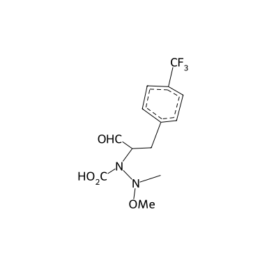 CON(C)N(C(=O)O)C(C=O)Cc1ccc(C(F)(F)F)cc1